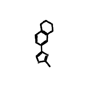 Cc1nc(-c2ccc3c(c2)CCCC3)cs1